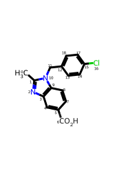 Cc1nc2cc(C(=O)O)ccc2n1Cc1ccc(Cl)cc1